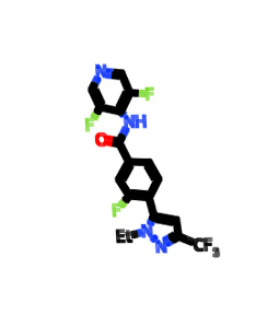 CCn1nc(C(F)(F)F)cc1-c1ccc(C(=O)Nc2c(F)cncc2F)cc1F